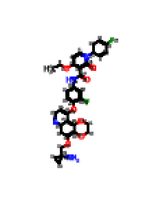 CCOc1ccn(C2C=CC(F)=CC2)c(=O)c1C(=O)Nc1ccc(OC2=CC=NC3CC(OCC4(N)CC4)=C4OCCOC4=C23)c(F)c1